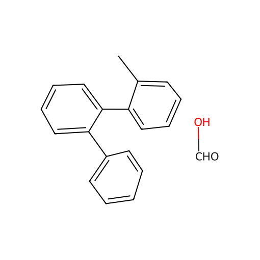 Cc1ccccc1-c1ccccc1-c1ccccc1.O=CO